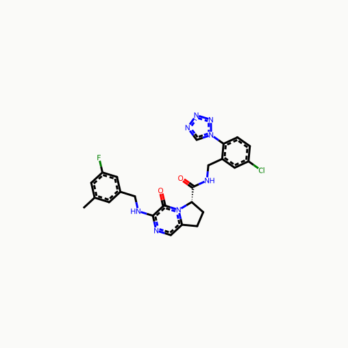 Cc1cc(F)cc(CNc2ncc3n(c2=O)[C@H](C(=O)NCc2cc(Cl)ccc2-n2cnnn2)CC3)c1